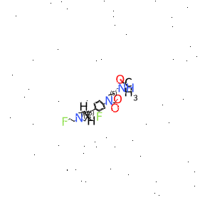 CC(=O)NC[C@H]1CN(c2ccc([C@H]3[C@@H]4CN(CCF)C[C@@H]43)c(F)c2)C(=O)O1